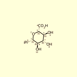 CC(C)[C@@H]1O[C@H](C(=O)O)[C@@H](O)[C@H](O)[C@H]1O